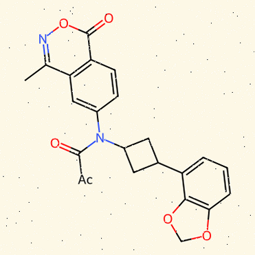 CC(=O)C(=O)N(c1ccc2c(=O)onc(C)c2c1)C1CC(c2cccc3c2OCO3)C1